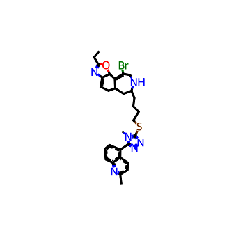 CCC1=NC2=CCC3CC(CCCCSc4nnc(-c5cccc6nc(C)ccc56)n4C)NCC(Br)=C3C2O1